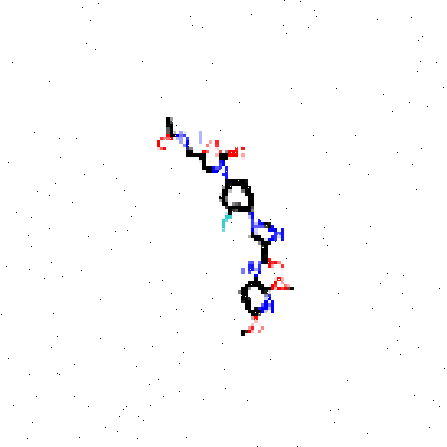 COc1ccc(NC(=O)c2cn(-c3ccc(N4CC(CNC(C)=O)OC4=O)cc3F)cn2)c(OC)n1